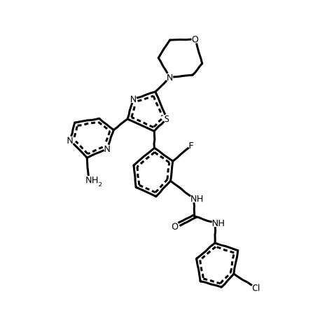 Nc1nccc(-c2nc(N3CCOCC3)sc2-c2cccc(NC(=O)Nc3cccc(Cl)c3)c2F)n1